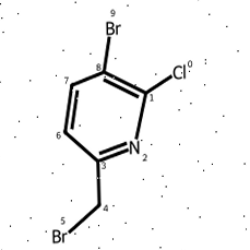 Clc1nc(CBr)ccc1Br